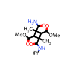 COC(=O)C1C(C)(C(N)=O)C(C(=O)OC)C1(C)C(=O)NC(C)C